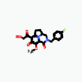 COc1c2n3c(c(C(=O)CO)c1=O)CCC3CN(Cc1ccc(F)cc1)C2=O